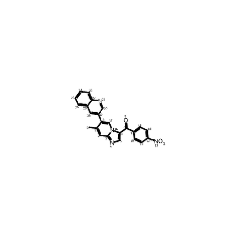 Cc1cc2ncc(C(=O)c3ccc([N+](=O)[O-])cc3)n2cc1-c1cnc2ccccc2c1